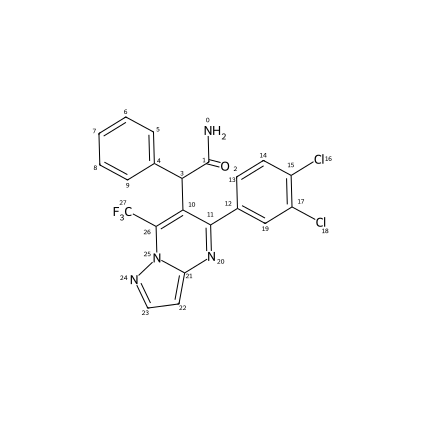 NC(=O)C(c1ccccc1)c1c(-c2ccc(Cl)c(Cl)c2)nc2ccnn2c1C(F)(F)F